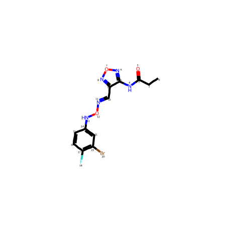 CCC(=O)Nc1nonc1/C=N/ONc1ccc(F)c(Br)c1